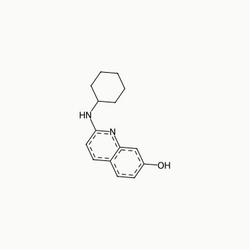 Oc1ccc2ccc(NC3CCCCC3)nc2c1